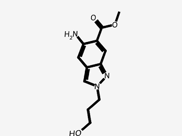 COC(=O)c1cc2nn(CCCO)cc2cc1N